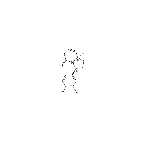 O=C1CC=C[C@H]2CC[C@@H](c3ccc(F)c(F)c3)N12